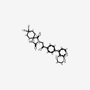 O=C(CN1C(=O)NC2(CCC(F)(F)CC2)C1=O)c1ccc(-c2ccnc3c2OCCO3)cc1